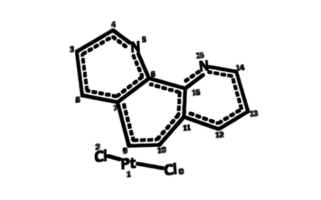 [Cl][Pt][Cl].c1cnc2c(c1)ccc1cccnc12